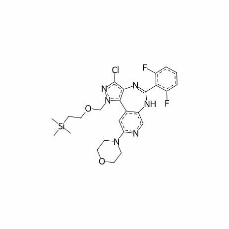 C[Si](C)(C)CCOCn1nc(Cl)c2c1-c1cc(N3CCOCC3)ncc1NC(c1c(F)cccc1F)=N2